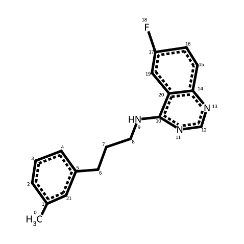 Cc1cccc(CCCNc2ncnc3ccc(F)cc23)c1